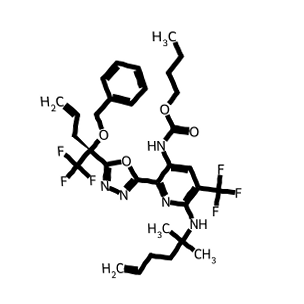 C=CCCC(C)(C)Nc1nc(-c2nnc([C@@](CC=C)(OCc3ccccc3)C(F)(F)F)o2)c(NC(=O)OCCCC)cc1C(F)(F)F